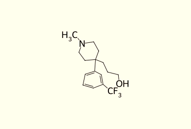 CN1CCC(CCCO)(c2cccc(C(F)(F)F)c2)CC1